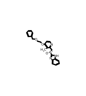 Cc1c(OCCOCc2ccccc2)ccnc1C[S+]([O-])c1nc2ccccc2[nH]1